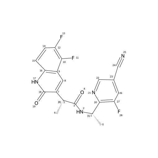 C[C@H](NC(=O)[C@H](C)c1cc2c(F)c(F)ccc2[nH]c1=O)c1ncc(C#N)cc1F